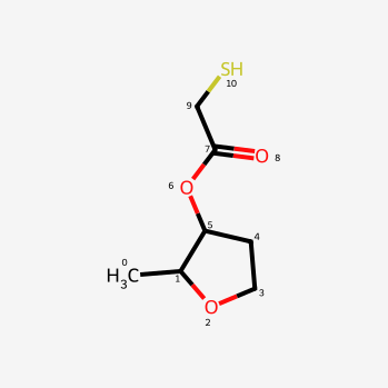 CC1OCCC1OC(=O)CS